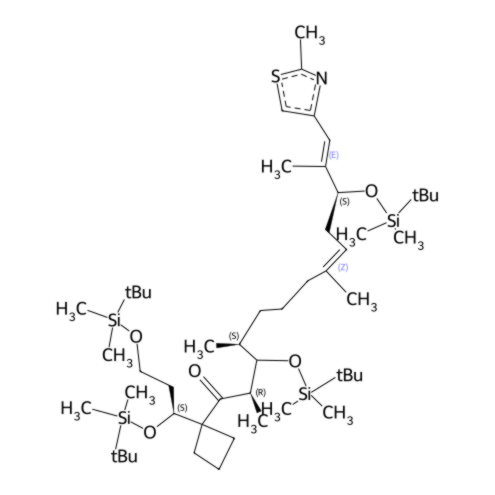 C/C(=C/C[C@H](O[Si](C)(C)C(C)(C)C)/C(C)=C/c1csc(C)n1)CCC[C@H](C)C(O[Si](C)(C)C(C)(C)C)[C@@H](C)C(=O)C1([C@H](CCO[Si](C)(C)C(C)(C)C)O[Si](C)(C)C(C)(C)C)CCC1